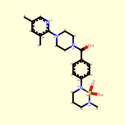 Cc1cnc(N2CCN(C(=O)c3ccc(N4CCCN(C)S4(=O)=O)cc3)CC2)c(C)c1